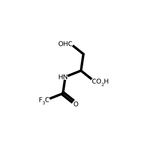 O=CCC(NC(=O)C(F)(F)F)C(=O)O